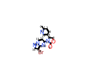 Cc1ccc([C@H]2COC(=O)N2c2ccn3ncc(Br)c3n2)cn1